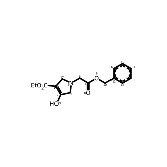 CCOC(=O)C1=C(O)CN(CC(=O)OCc2ccccc2)C1